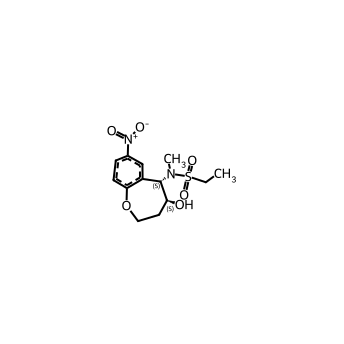 CCS(=O)(=O)N(C)[C@H]1c2cc([N+](=O)[O-])ccc2OCC[C@@H]1O